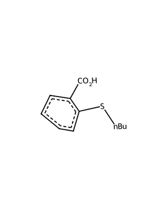 CCCCSc1ccccc1C(=O)O